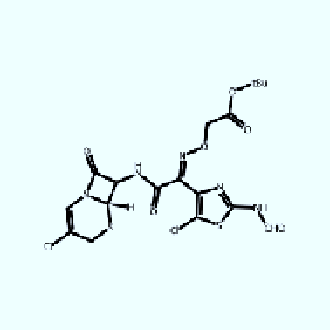 CC(C)(C)OC(=O)CON=C(C(=O)NC1C(=O)N2C=C(Cl)CS[C@@H]12)c1nc(NC=O)sc1Cl